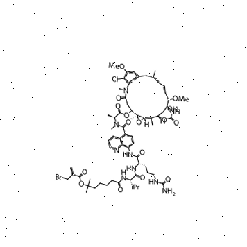 C=C(CBr)C(=O)OC(C)(C)CCCCC(=O)N[C@H](C(=O)N[C@@H](CCCNC(N)=O)C(=O)Nc1ccc(C(=O)N(C)[C@@H](C)C(=O)O[C@H]2CC(=O)N(C)c3cc(cc(OC)c3Cl)C/C(C)=C/C=C/[C@@H](OC)[C@@]3(O)C[C@H](OC(=O)N3)[C@@H](C)[C@@H]3O[C@@]23C)c2cccnc12)C(C)C